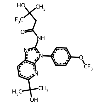 CC(C)(O)c1ccc2nc(NC(=O)CC(C)(O)C(F)(F)F)n(-c3ccc(OC(F)(F)F)cc3)c2n1